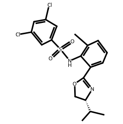 Cc1cccc(C2=N[C@H](C(C)C)CO2)c1NS(=O)(=O)c1cc(Cl)cc(Cl)c1